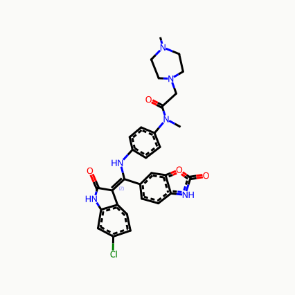 CN1CCN(CC(=O)N(C)c2ccc(N/C(=C3\C(=O)Nc4cc(Cl)ccc43)c3ccc4[nH]c(=O)oc4c3)cc2)CC1